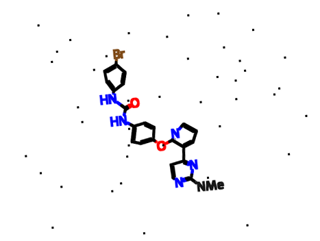 CNc1nccc(-c2cccnc2Oc2ccc(NC(=O)Nc3ccc(Br)cc3)cc2)n1